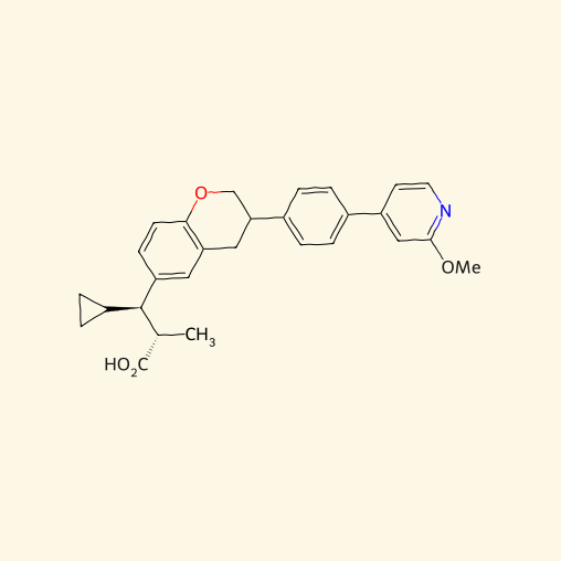 COc1cc(-c2ccc(C3COc4ccc([C@H](C5CC5)[C@H](C)C(=O)O)cc4C3)cc2)ccn1